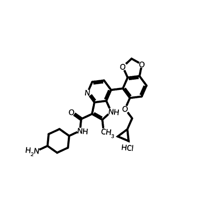 Cc1[nH]c2c(-c3c(OCC4CC4)ccc4c3OCO4)ccnc2c1C(=O)NC1CCC(N)CC1.Cl